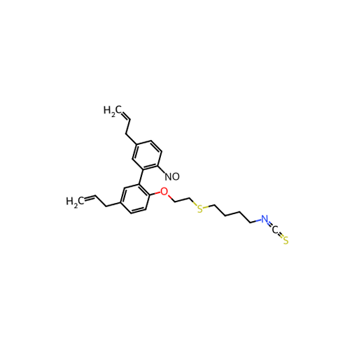 C=CCc1ccc(N=O)c(-c2cc(CC=C)ccc2OCCSCCCCN=C=S)c1